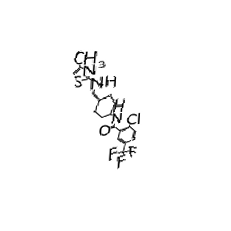 Cc1csc(NCC2CCC(NC(=O)c3cc(C(F)(F)F)ccc3Cl)CC2)n1